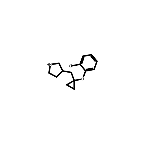 Clc1ccccc1OC1(CC2CCNC2)CC1